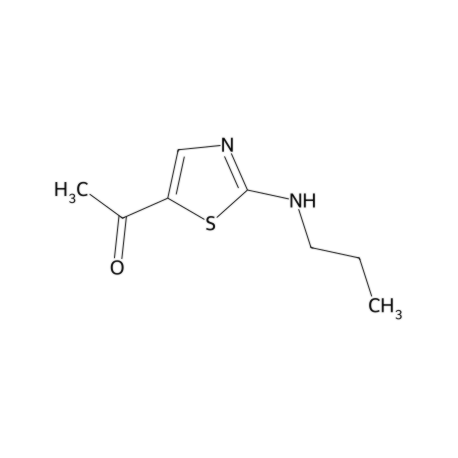 CCCNc1ncc(C(C)=O)s1